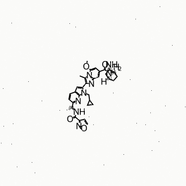 COc1cc(C(=O)N2[C@H]3CC[C@@H]2[C@H](N)C3)cc2nc(-c3cc4ccc([C@@H](C)NC(=O)c5ccon5)nc4n3CC3CC3)c(C)n12